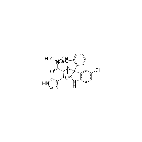 COc1ccccc1C1(N[C@@H](Cc2c[nH]cn2)C(=O)N(C)C)C(=O)Nc2ccc(Cl)cc21